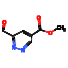 COC(=O)c1cnnc(C=O)c1